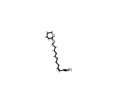 CCC#C/C=C\CCCCCCCCOC1CCCCO1